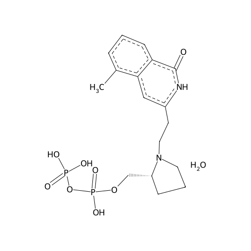 Cc1cccc2c(=O)[nH]c(CCN3CCC[C@@H]3COP(=O)(O)OP(=O)(O)O)cc12.O